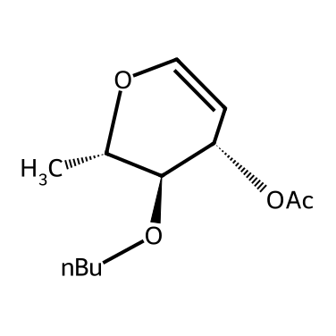 CCCCO[C@H]1[C@H](C)OC=C[C@@H]1OC(C)=O